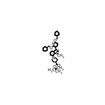 Cn1nc(-c2ccc(OCc3ccccc3)nc2OCc2ccccc2)c2cccc(N3CCC(C(=O)OC(C)(C)C)CC3)c21